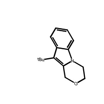 CC(C)(C)c1c2n(c3ccccc13)CCOC2